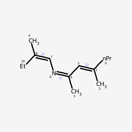 CCC/C(C)=C/C(C)=N\C=C(\C)CC